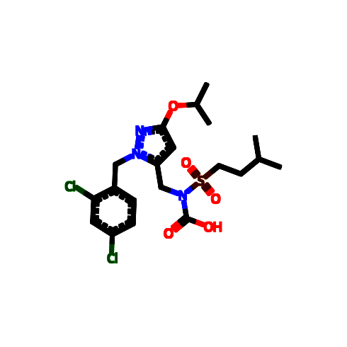 CC(C)CCS(=O)(=O)N(Cc1cc(OC(C)C)nn1Cc1ccc(Cl)cc1Cl)C(=O)O